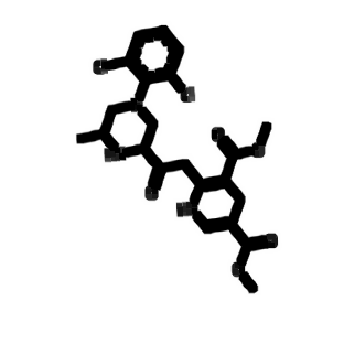 COC(=O)C1=CNC(CC(=O)C2CN(c3c(Cl)cccc3Cl)CC(C)N2)=C(C(=O)OC)C1